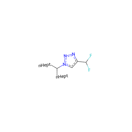 CCCCCCCC(CCCCCCC)n1cc(C(F)F)nn1